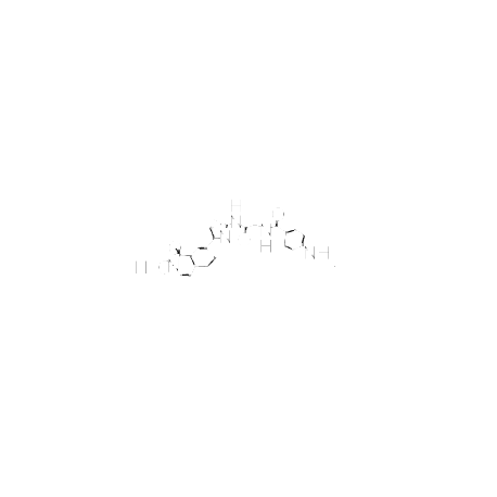 Cn1ccc2ccc(-c3csc(NC(=O)CNC(=O)c4ccc(N)cc4)n3)cc2c1=O